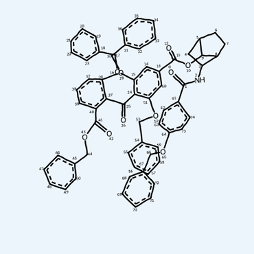 O=C(NC1CC2CCC1C2OC(=O)c1cc(OCc2ccccc2)c(C(=O)c2c(OCc3ccccc3)cccc2C(=O)OCc2ccccc2)c(OCc2ccccc2)c1)c1ccc(OCc2ccccc2)cc1